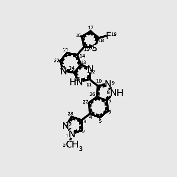 Cn1cc(-c2ccc3[nH]nc(-c4nc5c(-c6ccc(F)s6)ccnc5[nH]4)c3c2)cn1